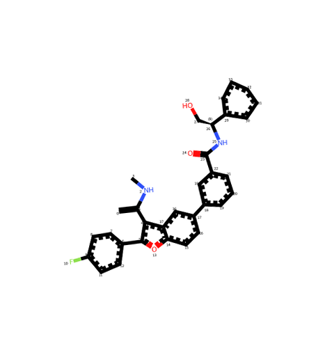 C=C(NC)c1c(-c2ccc(F)cc2)oc2ccc(-c3cccc(C(=O)N[C@@H](CO)c4ccccc4)c3)cc12